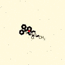 C=CCOC(=O)N1CC(SC(c2ccccc2)(c2ccccc2)c2ccccc2)CC1CI